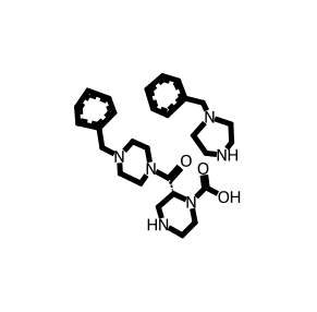 O=C([C@H]1CNCCN1C(=O)O)N1CCN(Cc2ccccc2)CC1.c1ccc(CN2CCNCC2)cc1